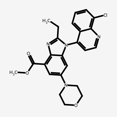 CCc1nc2c(C(=O)OC)cc(N3CCOCC3)cc2n1-c1ccnc2c(Cl)cccc12